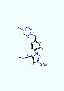 CN1CCN(Cc2ccc(-n3nc(C(C)(C)C)cc3N[C]=O)cc2)CC1